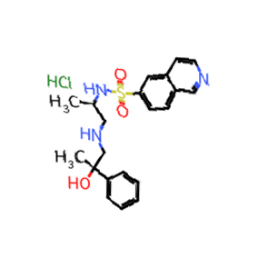 C[C@H](CNC[C@@](C)(O)c1ccccc1)NS(=O)(=O)c1ccc2cnccc2c1.Cl